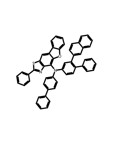 c1ccc(-c2ccc(N(c3ccc(-c4ccccc4)c(-c4ccc5ccccc5c4)c3)c3c4nc(-c5ccccc5)sc4cc4c3oc3ccccc34)cc2)cc1